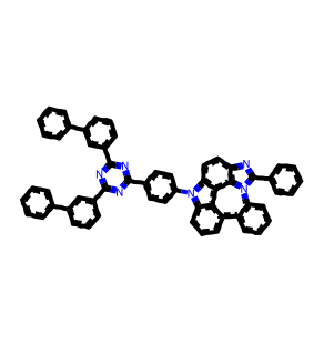 c1ccc(-c2cccc(-c3nc(-c4ccc(-n5c6cccc7c8ccccc8n8c(-c9ccccc9)nc9ccc5c(c76)c98)cc4)nc(-c4cccc(-c5ccccc5)c4)n3)c2)cc1